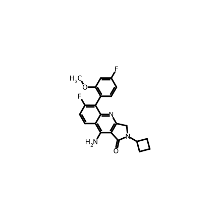 COc1cc(F)ccc1-c1c(F)ccc2c(N)c3c(nc12)CN(C1CCC1)C3=O